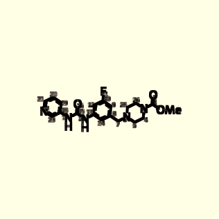 COC(=O)N1CCN(Cc2cc(F)cc(NC(=O)Nc3cccnc3)c2)CC1